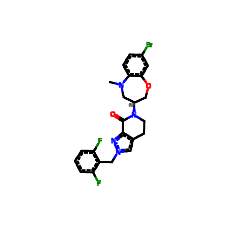 CN1C[C@H](N2CCc3cn(Cc4c(F)cccc4F)nc3C2=O)COc2cc(Br)ccc21